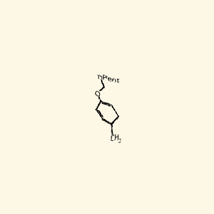 CCCCCCOC1=CCC(C)C=C1